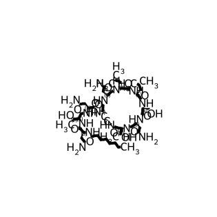 CCCCCCCC(=O)N[C@@H](CCN)C(=O)N[C@H](C(=O)N[C@@H](CCN)C(=O)N[C@H]1CCNC(=O)[C@H]([C@@H](C)O)NC(=O)[C@H](CCN)NC(=O)[C@H](CO)NC(=O)[C@H](CC(C)C)NC(=O)[C@@H](CC(C)C)NC(=O)[C@H](CCN)NC1=O)[C@@H](C)O